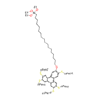 CCCCCSc1cc2c(cc1OCCCCCCCCCCCCCCCCCC[Si](OCC)(OCC)OCC)c1cc(SCCCCC)c(SCCCCC)cc1c1cc(SCCCCC)c(SCCCCC)cc21